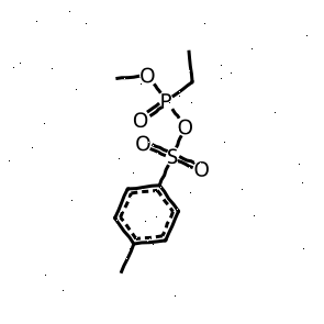 CCP(=O)(OC)OS(=O)(=O)c1ccc(C)cc1